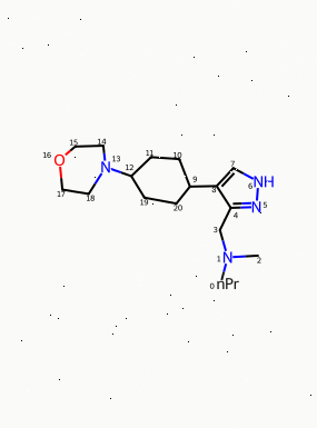 CCCN(C)Cc1n[nH]cc1C1CCC(N2CCOCC2)CC1